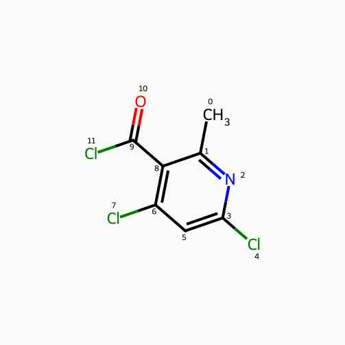 Cc1nc(Cl)cc(Cl)c1C(=O)Cl